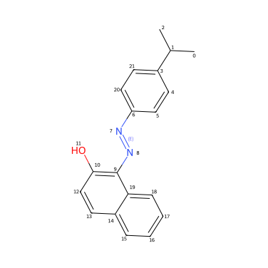 CC(C)c1ccc(/N=N/c2c(O)ccc3ccccc23)cc1